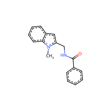 Cn1c(CNC(=O)c2ccccc2)cc2ccccc21